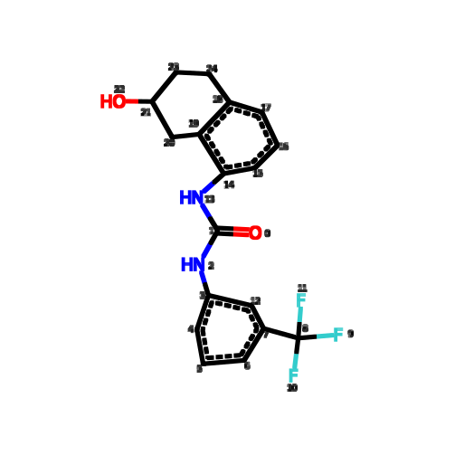 O=C(Nc1cccc(C(F)(F)F)c1)Nc1cccc2c1CC(O)CC2